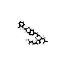 Cc1ccccc1NC(=O)Nc1ccc(CC(=O)NC(CC(C)C)c2coc(CCC(=O)O)n2)cc1F